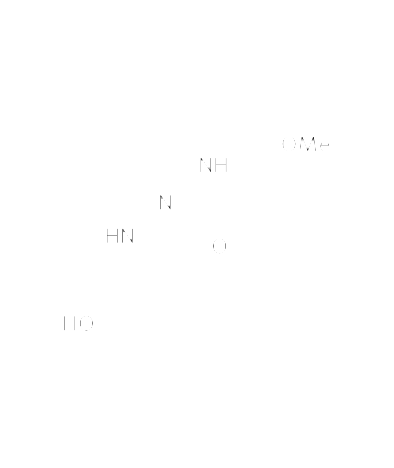 COCCOCCO.N=[N+]=N